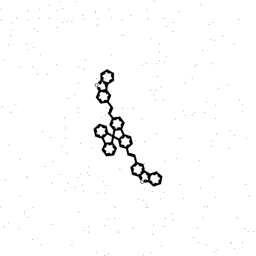 C(=C\c1ccc2oc3ccccc3c2c1)/c1ccc2c(c1)C1(c3ccccc3-c3ccccc31)c1cc(/C=C/c3ccc4oc5ccccc5c4c3)ccc1-2